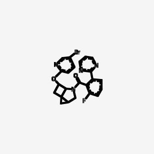 O=C(c1c(F)cccc1-c1ncccn1)N1CC2CC23CC(Oc2ccc(Br)cn2)C13